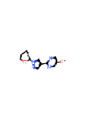 Brc1cnc(-c2cnn(C3CCCCO3)c2)nc1